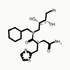 CC(C)C[C@H](O)[C@@H](O)CN(CC1CCCCC1)C(=O)[C@@H](CC(N)=O)Cc1nccs1